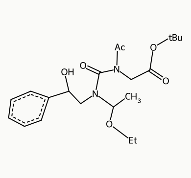 CCOC(C)N(CC(O)c1ccccc1)C(=O)N(CC(=O)OC(C)(C)C)C(C)=O